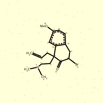 C=CCC1(CCN(C)C)C(=O)C(Br)Cc2ccc(OC)cc21